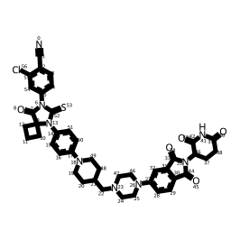 N#Cc1ccc(N2C(=O)C3(CCC3)N(c3ccc(N4CCC(CN5CCN(c6ccc7c(c6)C(=O)N(C6CCC(=O)NC6=O)C7=O)CC5)CC4)cc3)C2=S)cc1Cl